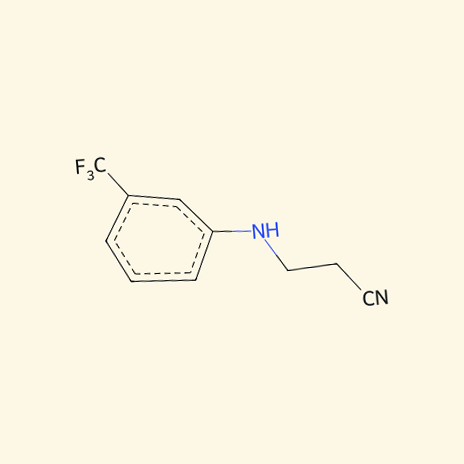 N#CCCNc1cccc(C(F)(F)F)c1